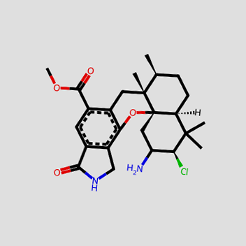 COC(=O)c1cc2c(c3c1C[C@]1(C)[C@@H](C)CC[C@H]4C(C)(C)[C@@H](Cl)C(N)C[C@]41O3)CNC2=O